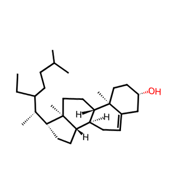 CCC(CCC(C)C)[C@@H](C)[C@H]1CC[C@H]2[C@@H]3CC=C4C[C@@H](O)CC[C@]4(C)[C@H]3CC[C@]12C